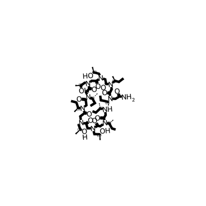 CC[C@@H](C)N(CC(N)=O)C(=O)CN(C(=O)CN(C[C@H](C)O)C(=O)CN(C[C@H](C)O)C(=O)CN(C(=O)CN(C(=O)CN(C[C@H](C)O)C(=O)CN(C[C@H](C)O)C(=O)CN(C(=O)CN[C@@H](C)CC)[C@H](C)CC)[C@@H](C)CC)[C@H](C)CC)[C@@H](C)CC